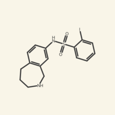 O=S(=O)(Nc1ccc2c(c1)CNCCC2)c1ccccc1I